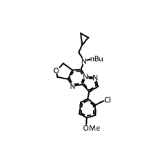 CCCCN(CC1CC1)c1c2c(nc3c(-c4ccc(OC)cc4Cl)cnn13)COC2